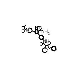 CC(C)C(=O)N1CCC(c2cc(-c3ccc(NC(=O)c4c5n(n(-c6ccccc6)c4=O)CCCC5)cc3)c3c(N)ncnn23)CC1